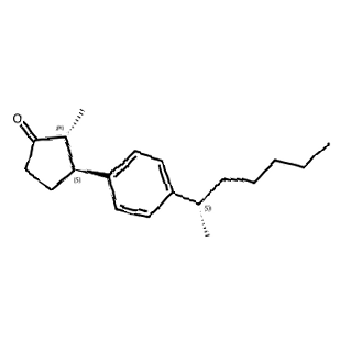 CCCCC[C@H](C)c1ccc([C@H]2CCC(=O)[C@@H]2C)cc1